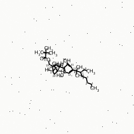 CCCCCC(CC)C(C)(C)c1cc(O)c([C@H]2C=C(COC(=O)C(C)(C)C)[C@H]3C[C@@H]2C3(C)C)c(O)c1